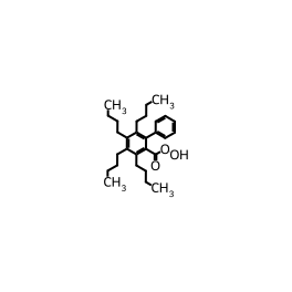 CCCCc1c(CCCC)c(CCCC)c(-c2ccccc2)c(C(=O)OO)c1CCCC